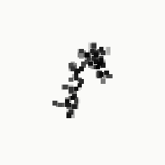 CCc1cc(N2CCN(C(=O)CCC3(CC(=O)OC(C)(C)C)NC(O)NC3=O)C[C@@H]2C)ccc1Cl